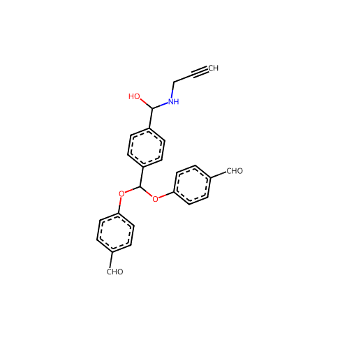 C#CCNC(O)c1ccc(C(Oc2ccc(C=O)cc2)Oc2ccc(C=O)cc2)cc1